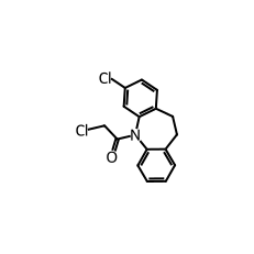 O=C(CCl)N1c2ccccc2CCc2ccc(Cl)cc21